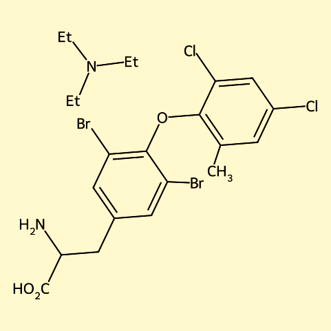 CCN(CC)CC.Cc1cc(Cl)cc(Cl)c1Oc1c(Br)cc(CC(N)C(=O)O)cc1Br